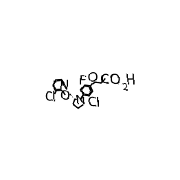 O=C(O)CC(=O)c1cc(Cl)c(N2CCC[C@@H]2COc2ncccc2Cl)cc1F